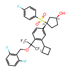 O=S(=O)(c1ccc(F)cc1)[C@@]1(c2ccc(C(OCc3c(F)cccc3F)(C(F)(F)F)C(F)(F)F)c(C3CCC3)c2)CC[C@H](O)C1